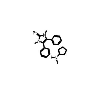 Cn1c(-c2ccccc2)c(-c2ccccc2)n(C)[c]1=[Pt].IN(I)C1CCCC1